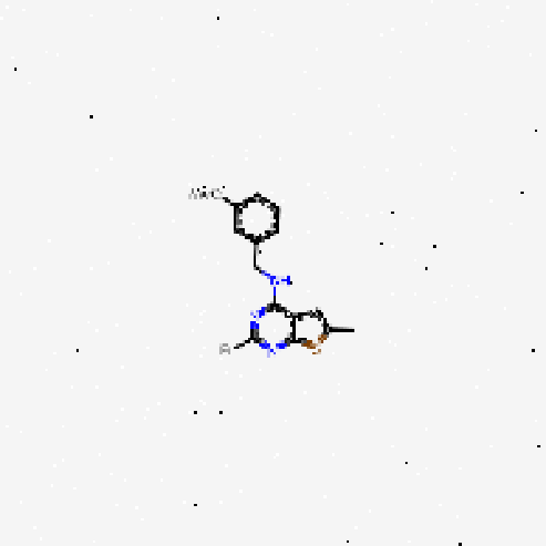 CCc1nc(NCc2cccc(OC)c2)c2cc(C)sc2n1